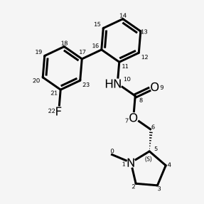 CN1CCC[C@H]1COC(=O)Nc1ccccc1-c1cccc(F)c1